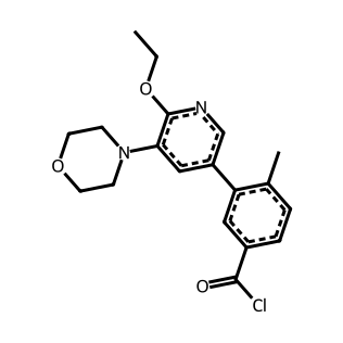 CCOc1ncc(-c2cc(C(=O)Cl)ccc2C)cc1N1CCOCC1